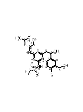 CC(C)C[C@H](CO)Nc1nc(CC(C)c2ccc(F)c(CO)c2)nc(NS(C)(=O)=O)n1